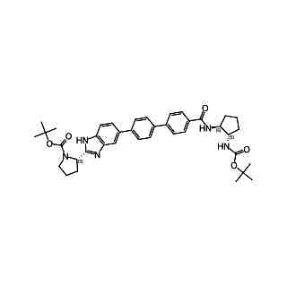 CC(C)(C)OC(=O)N[C@H]1CCC[C@@H]1NC(=O)c1ccc(-c2ccc(-c3ccc4[nH]c([C@@H]5CCCN5C(=O)OC(C)(C)C)nc4c3)cc2)cc1